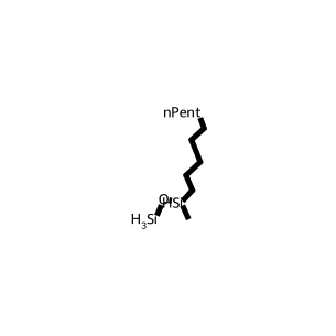 CCCCCCCCCC[SiH](C)O[SiH3]